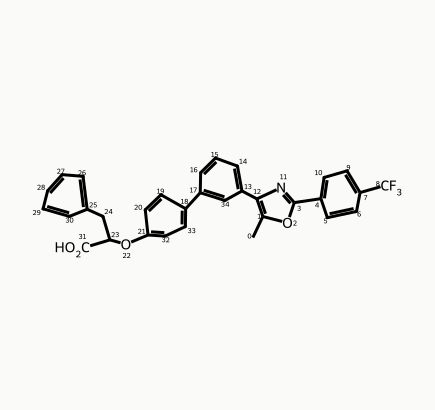 Cc1oc(-c2ccc(C(F)(F)F)cc2)nc1-c1cccc(-c2ccc(OC(Cc3ccccc3)C(=O)O)cc2)c1